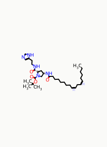 CCCCC/C=C\C/C=C\CCCCCCCC(=O)N[C@H]1C[C@@H](C(=O)NCCc2cnc[nH]2)N(C(=O)OC(C)(C)C)C1